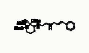 CCCC1(OC)C(NCCNCC=Cc2ccccc2)CCC[Si]1(OC)OC